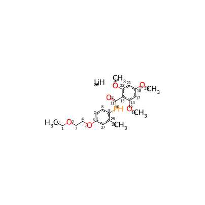 CCOCCOc1ccc(PC(=O)c2c(OC)cc(OC)cc2OC)c(C)c1.[LiH]